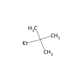 C[C]C(C)(C)C